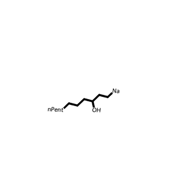 CCCCCCCCC(O)C[CH2][Na]